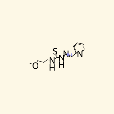 COCCCNC(=S)N/N=C/c1ccccn1